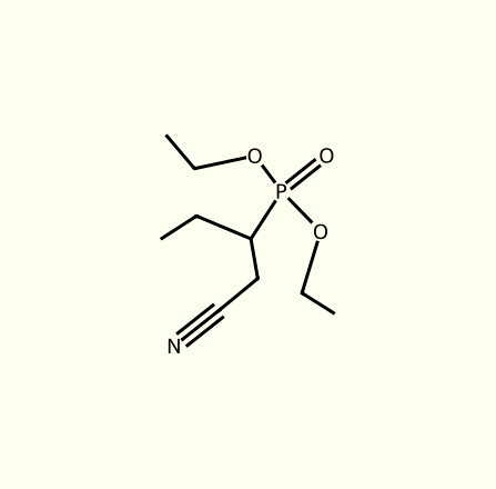 CCOP(=O)(OCC)C(CC)CC#N